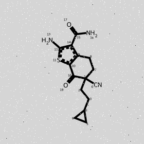 N#CC1(CCC2CC2)CCc2c(sc(N)c2C(N)=O)C1=O